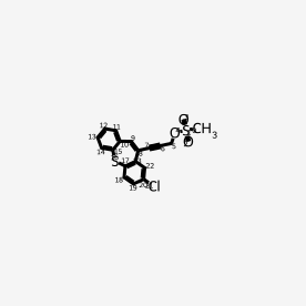 CS(=O)(=O)OCC#CC1=Cc2ccccc2Sc2ccc(Cl)cc21